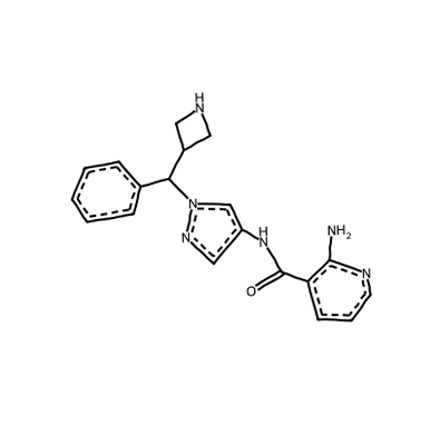 Nc1ncccc1C(=O)Nc1cnn(C(c2ccccc2)C2CNC2)c1